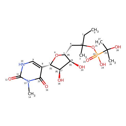 CCC(C)(C[C@H]1O[C@@H](c2c[nH]c(=O)n(C)c2=O)[C@H](O)[C@@H]1O)OP(=O)(O)C(C)(C)O